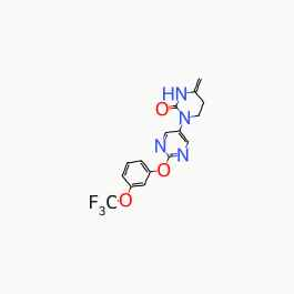 C=C1CCN(c2cnc(Oc3cccc(OC(F)(F)F)c3)nc2)C(=O)N1